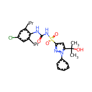 CC(C)c1cc(Cl)cc(C(C)C)c1NC(=O)NS(=O)(=O)c1cc(C(C)(C)O)n(-c2ccccc2)n1